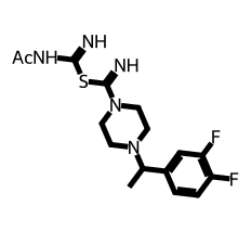 CC(=O)NC(=N)SC(=N)N1CCN(C(C)c2ccc(F)c(F)c2)CC1